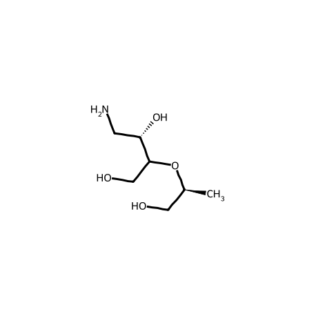 C[C@@H](CO)OC(CO)[C@@H](O)CN